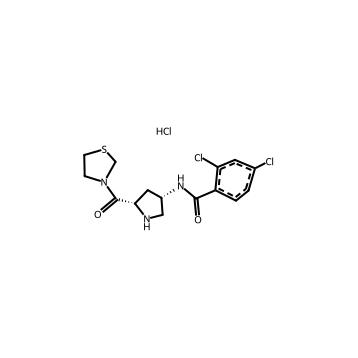 Cl.O=C(N[C@@H]1CN[C@H](C(=O)N2CCSC2)C1)c1ccc(Cl)cc1Cl